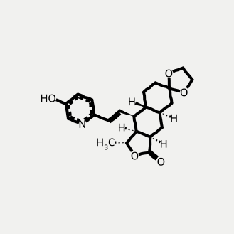 C[C@H]1OC(=O)[C@@H]2C[C@@H]3CC4(CC[C@H]3[C@H](/C=C/c3ccc(O)cn3)[C@H]12)OCCO4